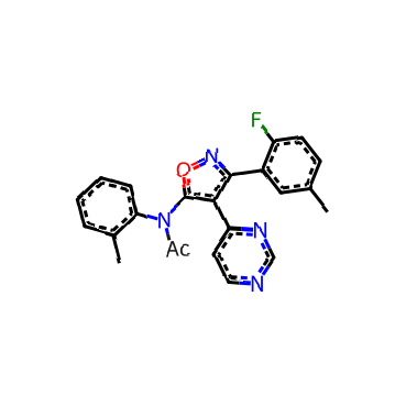 CC(=O)N(c1ccccc1C)c1onc(-c2cc(C)ccc2F)c1-c1ccncn1